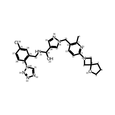 Cc1nc(N2CC3(CCCO3)C2)ccc1Cn1cc(C(O)NCc2cc(Cl)ccc2-n2cnnn2)cn1